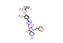 CC(COc1ccc(-c2noc(CN3C(=O)N(CCC4CCOCC4)C4(CCNCC4)C3=O)n2)cc1C(F)(F)F)(C(F)(F)F)C(F)(F)F